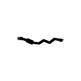 OC#CCCCCBr